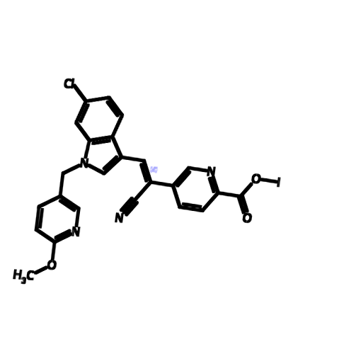 COc1ccc(Cn2cc(/C=C(\C#N)c3ccc(C(=O)OI)nc3)c3ccc(Cl)cc32)cn1